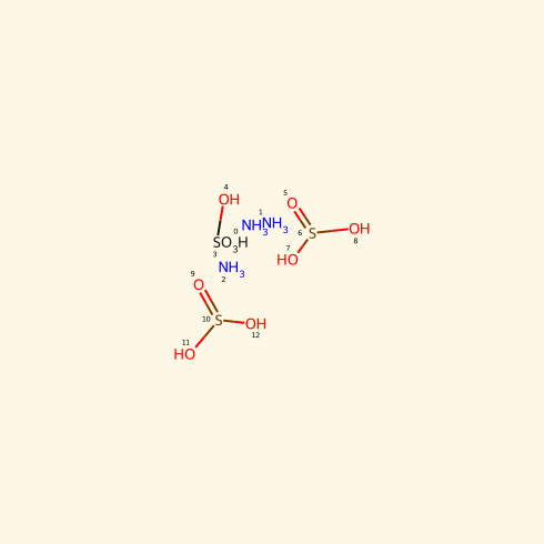 N.N.N.O=S(=O)(O)O.O=S(O)O.O=S(O)O